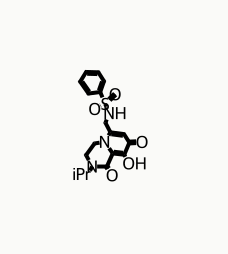 CC(C)N1CCn2c(CNS(=O)(=O)c3ccccc3)cc(=O)c(O)c2C1=O